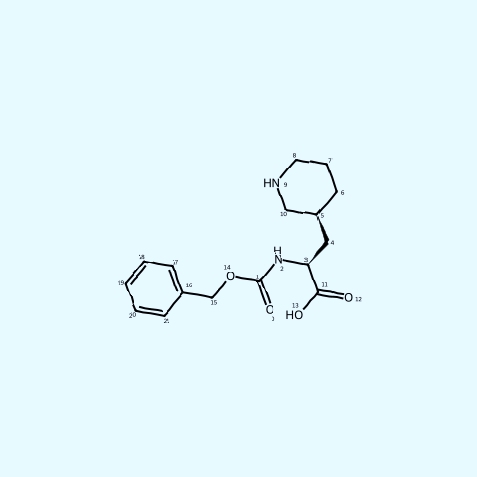 O=C(N[C@@H](C[C@@H]1CCCNC1)C(=O)O)OCc1ccccc1